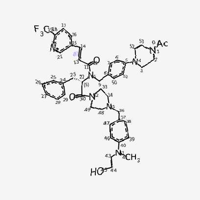 CC(=O)N1CCN(c2ccc(CN(C(=O)/C=C/c3ccc(C(F)(F)F)nc3)[C@@H](Cc3ccccc3)C(=O)N3CCN(Cc4ccc(N(C)CCO)cc4)CC3)cc2)CC1